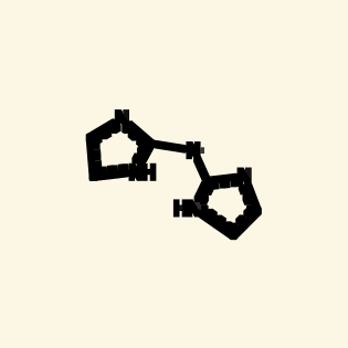 c1c[nH]c([N]c2ncc[nH]2)n1